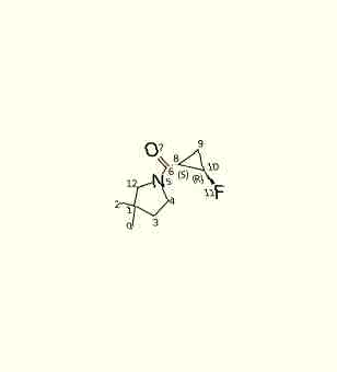 CC1(C)CCN(C(=O)[C@@H]2C[C@H]2F)C1